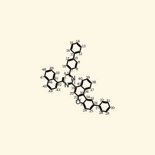 C=C(/N=C(\N=C(/C)c1ccc(-c2ccccc2)cc1)c1cc2oc3ccc(-c4ccccc4)cc3c2c2ccccc12)c1cccc2ccccc12